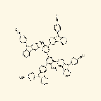 [C-]#[N+]c1ccc(-n2c3ccccc3c3cc(-c4cc(-c5cc(-c6ccc7c(c6)c6ccccc6n7-c6ccc(C#N)cc6)c(C)c(-c6ccc7c(c6)c6ccccc6n7-c6ccc(C#N)cc6)c5)cc(-c5ccc6c(c5)c5ccccc5n6-c5ccc([N+]#[C-])cc5)c4C)ccc32)cc1